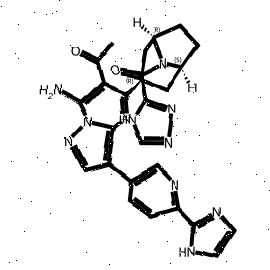 CC(=O)c1c([C@H]2C[C@H]3CC[C@@H](C2)N3C(=O)c2nnc[nH]2)nc2c(-c3ccc(-c4ncc[nH]4)nc3)cnn2c1N